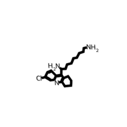 NCCCCCCCCC(N)c1c2c(nc3cc(Cl)ccc13)CCCC2